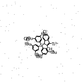 CC1=[C]([Ti+3])c2ccccc2C1[Si](c1cc(C(C)(C)C)cc(C(C)(C)C)c1)(c1cc(C(C)(C)C)cc(C(C)(C)C)c1)c1cc(C(C)(C)C)cc(C(C)(C)C)c1.[Cl-].[Cl-].[Cl-]